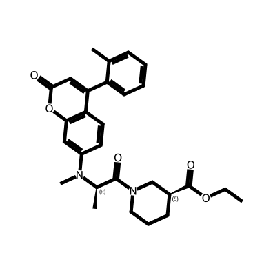 CCOC(=O)[C@H]1CCCN(C(=O)[C@@H](C)N(C)c2ccc3c(-c4ccccc4C)cc(=O)oc3c2)C1